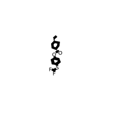 CC[C@H]1CC[C@H](C(=O)Oc2ccc(SC(F)F)cc2)CC1